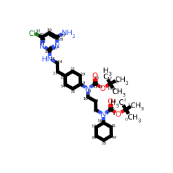 CC(C)(C)OC(=O)N(CCCN(C(=O)OC(C)(C)C)C1CCC(CCNc2nc(N)cc(Cl)n2)CC1)C1CCCCC1